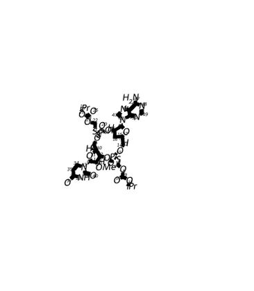 CO[C@@H]1[C@@H]2OP(=O)(SCOC(=O)OC(C)C)OC[C@@H]3C[C@@H](OP(=O)(SCOC(=O)OC(C)C)OC[C@H]2O[C@H]1n1ccc(=O)[nH]c1=O)[C@H](n1cnc2c(N)ncnc21)O3